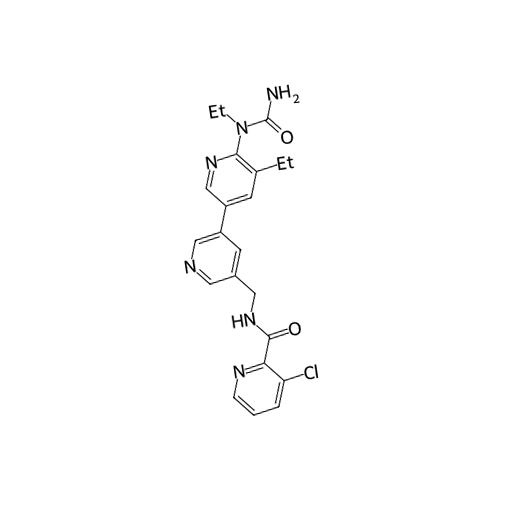 CCc1cc(-c2cncc(CNC(=O)c3ncccc3Cl)c2)cnc1N(CC)C(N)=O